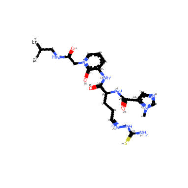 CCC(CC)CNC(=O)Cn1cccc(NC(=O)C(CC/C=N\NC(N)=S)NC(=O)c2cncn2C)c1=O